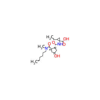 C=CCCCCN(C)C(=O)[C@@H]1C[C@@H](O)C[C@H]1C(=O)NC1(C(=O)O)CC1C=C